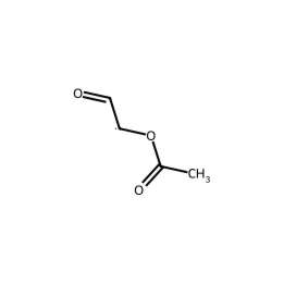 CC(=O)O[CH]C=O